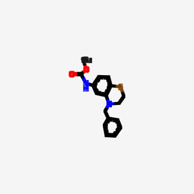 CC(C)(C)OC(=O)Nc1ccc2c(c1)N(Cc1ccccc1)CCS2